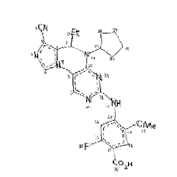 CCC1c2c(C#N)ncn2-c2cnc(Nc3cc(F)c(C(=O)O)cc3OC)nc2N1C1CCCC1